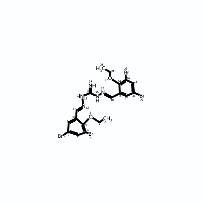 CCOc1c(Br)cc(Br)cc1/C=N/NC(=N)N/N=C/c1cc(Br)cc(Br)c1OCC